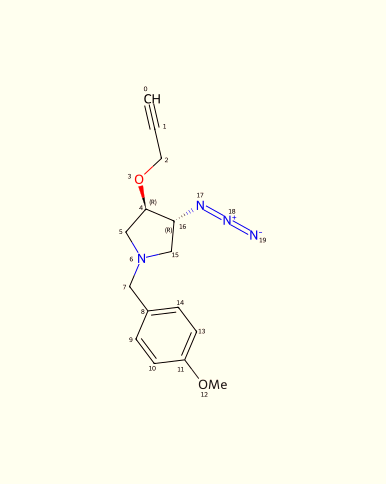 C#CCO[C@@H]1CN(Cc2ccc(OC)cc2)C[C@H]1N=[N+]=[N-]